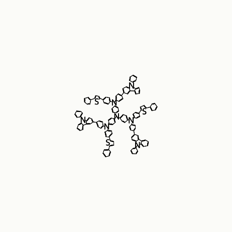 c1ccc(-c2ccc(-c3ccc(N(c4ccc(-c5ccc6c(c5)c5ccccc5n6-c5ccccc5)cc4)c4ccc(N(c5ccc(N(c6ccc(-c7ccc8c(c7)c7ccccc7n8-c7ccccc7)cc6)c6ccc(-c7ccc(-c8ccccc8)s7)cc6)cc5)c5ccc(N(c6ccc(-c7ccc8c(c7)c7ccccc7n8-c7ccccc7)cc6)c6ccc(-c7ccc(-c8ccccc8)s7)cc6)cc5)cc4)cc3)s2)cc1